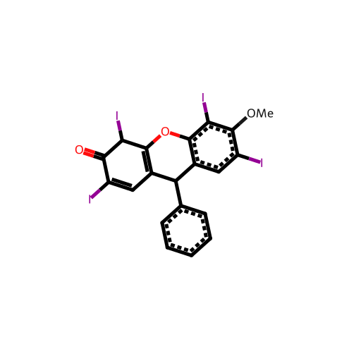 COc1c(I)cc2c(c1I)OC1=C(C=C(I)C(=O)C1I)C2c1ccccc1